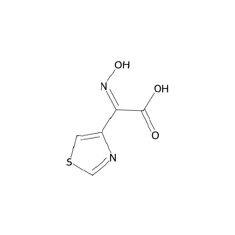 O=C(O)C(=NO)c1cscn1